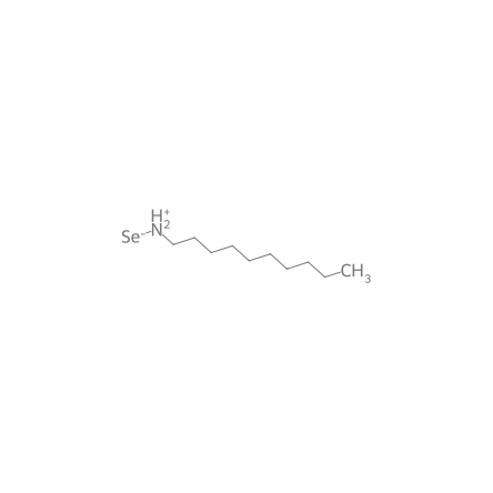 CCCCCCCCCC[NH2+][Se-]